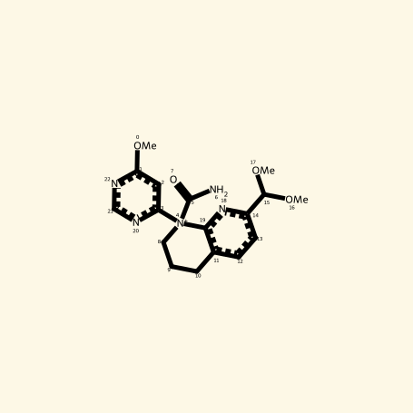 COc1cc([N+]2(C(N)=O)CCCc3ccc(C(OC)OC)nc32)ncn1